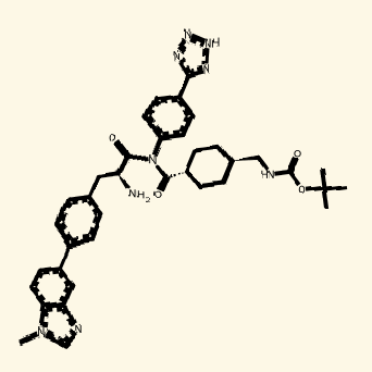 Cn1cnc2cc(-c3ccc(C[C@H](N)C(=O)N(c4ccc(-c5nn[nH]n5)cc4)C(=O)[C@H]4CC[C@H](CNC(=O)OC(C)(C)C)CC4)cc3)ccc21